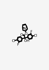 C[N+]1(C)C2C=CC1CC(OC(=O)C(O)(c1ccc(Cl)c(F)c1)c1ccc(Cl)c(F)c1)C2